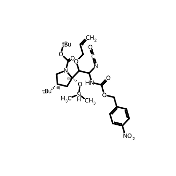 C=CCOC(C(N=C=O)NC(=O)OCc1ccc([N+](=O)[O-])cc1)[C@@]1(O[SiH](C)C)C[C@H](C(C)(C)C)CN1C(=O)OC(C)(C)C